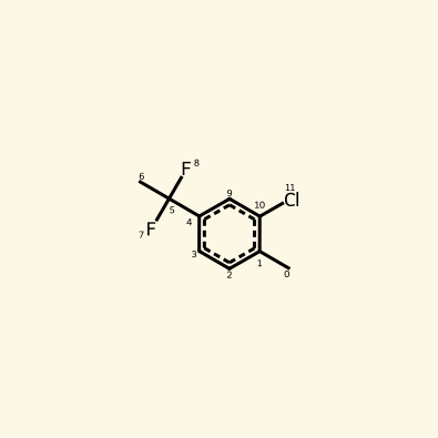 Cc1ccc(C(C)(F)F)cc1Cl